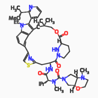 CCn1c(-c2cccnc2[C@H](C)OC)c2c3cc(ccc31)-c1csc(n1)C[C@H](NC(=O)[C@H](C(C)C)N(C)C(=O)N1C[C@H]3OCCN(C)[C@H]3C1)C(=O)N1CCC[C@H](N1)C(=O)OCC(C)(C)C2